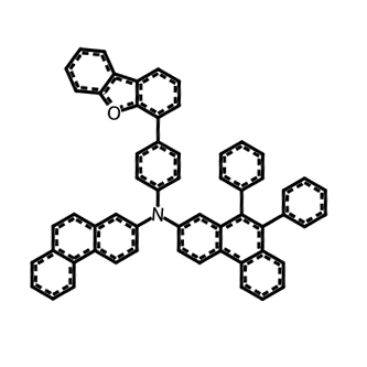 c1ccc(-c2c(-c3ccccc3)c3cc(N(c4ccc(-c5cccc6c5oc5ccccc56)cc4)c4ccc5c(ccc6ccccc65)c4)ccc3c3ccccc23)cc1